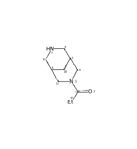 CCC(=O)N1CC2CNCC(C2)C1